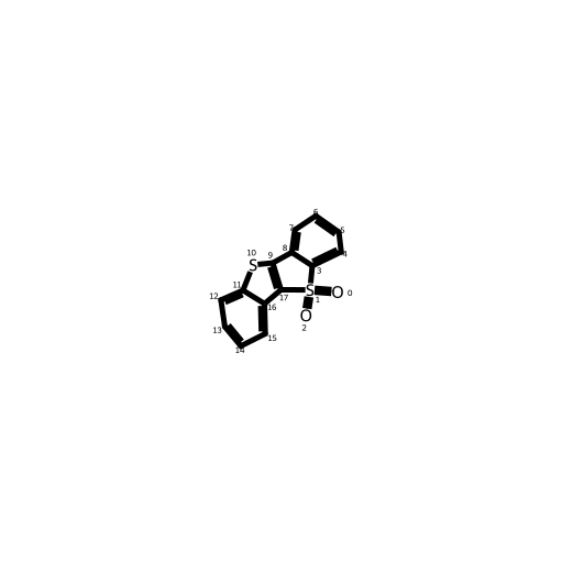 O=S1(=O)c2ccccc2-c2sc3ccccc3c21